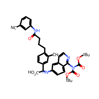 Cc1cc(C(Nc2ccc3c(N(C(=O)OC(C)(C)C)C(=O)OC(C)(C)C)nccc3c2)C(=O)O)ccc1CCCC(=O)Nc1cccc(C#N)c1